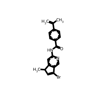 C=C(C)c1ccc(C(=O)Nc2cc3c(cn2)C(Br)=CC3C)cc1